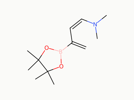 C=C(/C=C\N(C)C)B1OC(C)(C)C(C)(C)O1